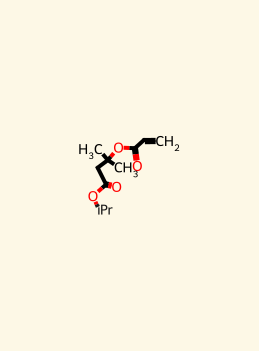 C=CC(=O)OC(C)(C)CC(=O)OC(C)C